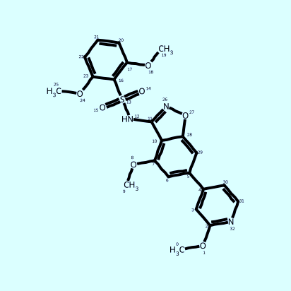 COc1cc(-c2cc(OC)c3c(NS(=O)(=O)c4c(OC)cccc4OC)noc3c2)ccn1